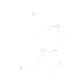 CC(C)c1cnc2cnc(Br)cn12